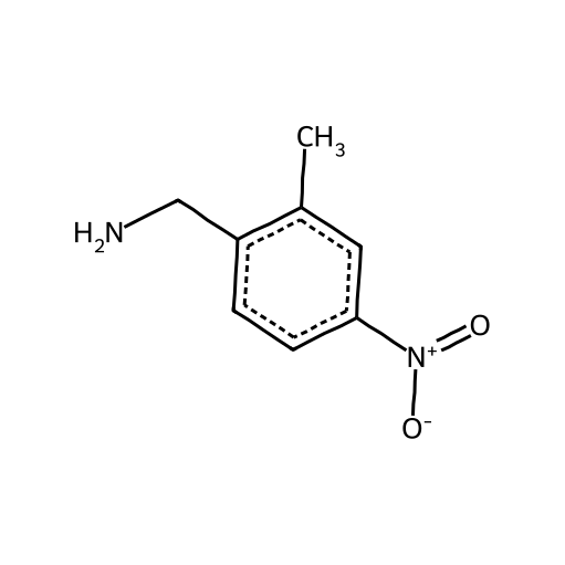 Cc1cc([N+](=O)[O-])ccc1CN